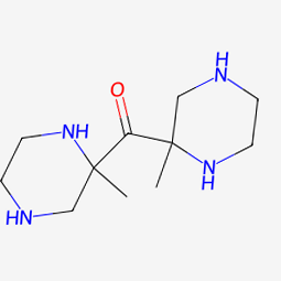 CC1(C(=O)C2(C)CNCCN2)CNCCN1